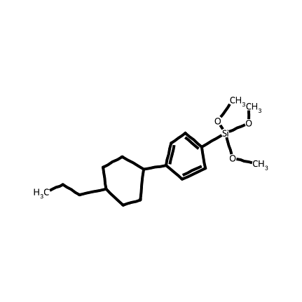 CCCC1CCC(c2ccc([Si](OC)(OC)OC)cc2)CC1